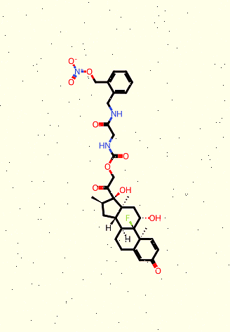 C[C@@H]1C[C@H]2[C@@H]3CCC4=CC(=O)C=C[C@]4(C)[C@@]3(F)[C@@H](O)C[C@]2(C)[C@@]1(O)C(=O)COC(=O)NCC(=O)NCc1ccccc1CO[N+](=O)[O-]